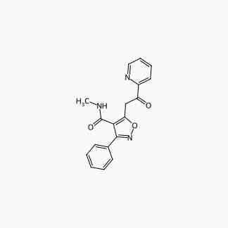 CNC(=O)c1c(-c2ccccc2)noc1CC(=O)c1ccccn1